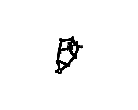 CN1C2C[CH]CC1C1OC12